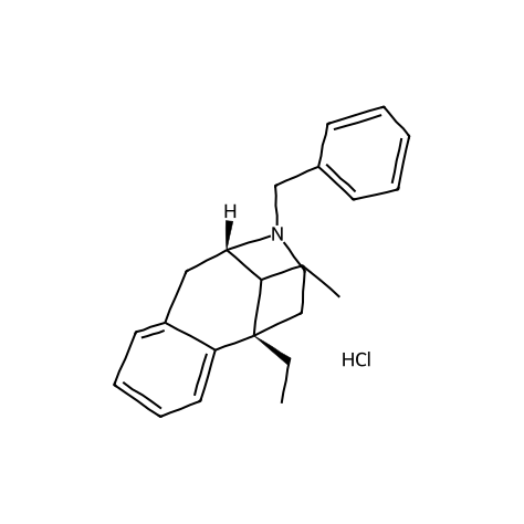 CCC1[C@@H]2Cc3ccccc3[C@@]1(CC)CCN2Cc1ccccc1.Cl